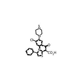 CN1CCN(c2cc3c(=O)c(C(=O)O)c4scc(-c5ccccc5)n4c3cc2Cl)CC1